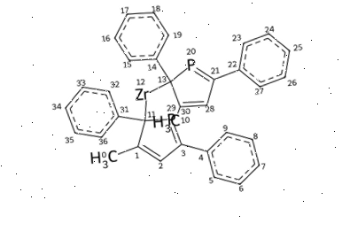 CC1=CC(c2ccccc2)=P[C]1([Zr][C]1(c2ccccc2)P=C(c2ccccc2)C=C1C)c1ccccc1